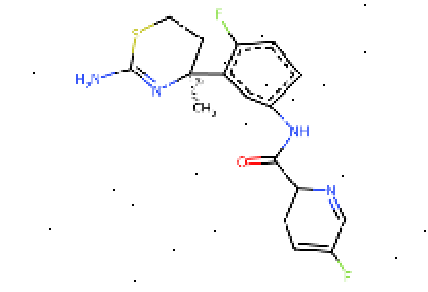 C[C@@]1(c2cc(NC(=O)C3CC=C(F)C=N3)ccc2F)CCSC(N)=N1